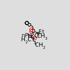 C=CCCC(=O)C(=C)[C@@H](CCC)CC(=O)C(CC(=O)CC1Cc2ccccc2C1)C1C(CC)C1(C)C